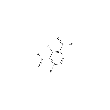 O=C(O)c1ccc(F)c([N+](=O)[O-])c1Br